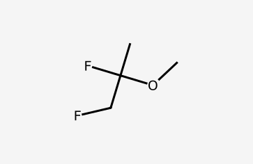 COC(C)(F)CF